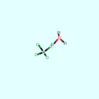 CC[O+](CC)CC.[Cl][Al-]([Cl])([Cl])[Cl]